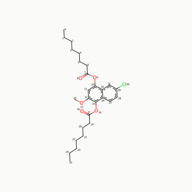 CCCCCCCC(=O)Oc1cc(OC)c(OC(=O)CCCCCCC)c2ccc(Cl)cc12